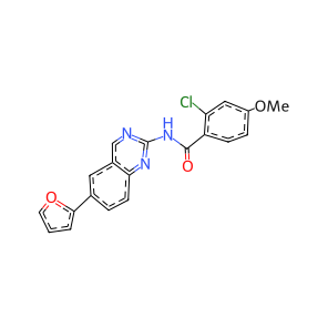 COc1ccc(C(=O)Nc2ncc3cc(-c4ccco4)ccc3n2)c(Cl)c1